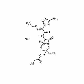 CC(=O)CC(=O)OCC1(C(=O)[O-])CS[C@@H]2C(NC(=O)C(=NOCC(F)(F)F)c3nsc(N)n3)C(=O)N2C1.[Na+]